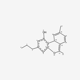 CCCc1cc(O)c2c(c1)OC(C)=C1C=CC(C)=CC12